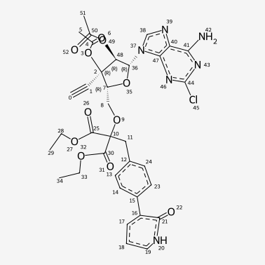 C#C[C@@]1(OC(C)=O)[C@@H](COC(Cc2ccc(-c3ccc[nH]c3=O)cc2)(C(=O)OCC)C(=O)OCC)O[C@@H](n2cnc3c(N)nc(Cl)nc32)[C@@H]1OC(C)=O